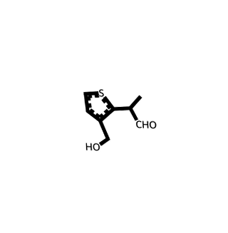 CC(C=O)c1sccc1CO